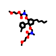 CCCCCc1cc(OCN(C)C(=O)OCCOC)c(-c2cccc(C)c2)c(OCN(C)C(=O)OCCOC)c1